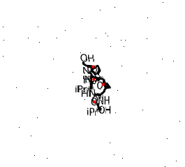 CC(C)[C@H](O)C(=O)N[C@H]1Cc2ccc3c(c2)[C@@]2(c4ccccc4NC2O3)c2oc(nc2-c2nc(CO)co2)[C@H](C(C)C)NC1=O